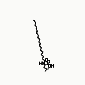 CCCCCC=CCC=CCC=CCC=CCCCC(=O)NC(CC(C)C)C(=O)O